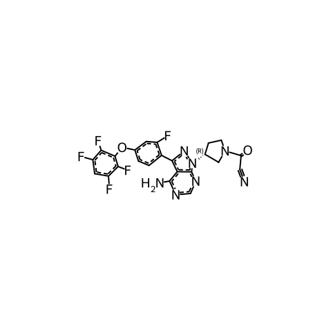 N#CC(=O)N1CC[C@@H](n2nc(-c3ccc(Oc4c(F)c(F)cc(F)c4F)cc3F)c3c(N)ncnc32)C1